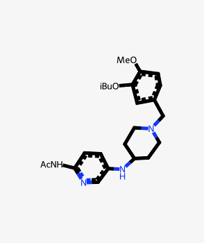 COc1ccc(CN2CCC(Nc3ccc(NC(C)=O)nc3)CC2)cc1OCC(C)C